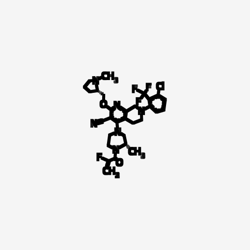 C=C(F)C(=O)N1CCN(c2c(C#N)c(OC[C@@H]3CCCN3C)nc3c2CCN(c2cccc(Cl)c2C(F)(F)F)C3)C[C@@H]1C